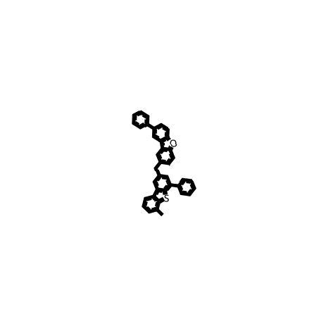 Cc1cccc2c1sc1c(-c3ccccc3)cc(Cc3ccc4oc5ccc(-c6ccccc6)cc5c4c3)cc12